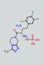 NC(C(=O)N1CCn2c(nnc2C(F)(F)F)C1)[C@H](N)Cc1cc(F)c(F)cc1F.O=P(O)(O)O